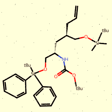 C=CC[C@@H](CO[Si](C)(C)C(C)(C)C)C[C@@H](CO[Si](c1ccccc1)(c1ccccc1)C(C)(C)C)NC(=O)OC(C)(C)C